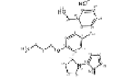 Cl.NCCCOc1ccc(F)cc1[C@H]1CCCN1c1ccn[nH]1.OCN1C=NC=CC1